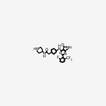 O=C(Cc1ccc(Nc2nc(-c3c(F)cccc3C(F)(F)F)nc3c2C(=O)NC3)cc1)NC1CCNCC1